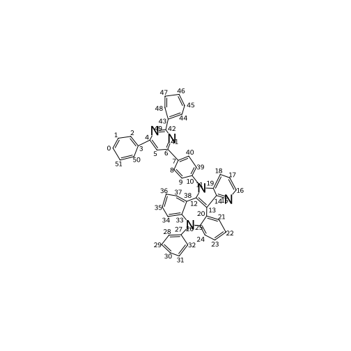 c1ccc(-c2cc(-c3ccc(-n4c5c(c6ncccc64)-c4ccccc4N(c4ccccc4)c4ccccc4-5)cc3)nc(-c3ccccc3)n2)cc1